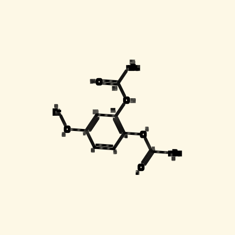 CCCCC(=O)Oc1ccc(OCC)cc1OC(=O)CCCC